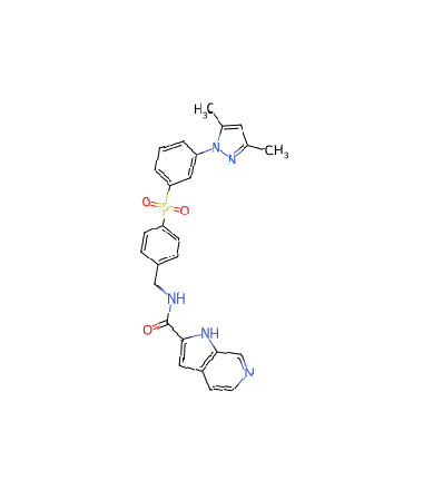 Cc1cc(C)n(-c2cccc(S(=O)(=O)c3ccc(CNC(=O)c4cc5ccncc5[nH]4)cc3)c2)n1